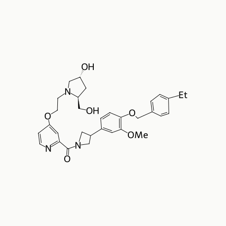 CCc1ccc(COc2ccc(C3CN(C(=O)c4cc(OCCN5C[C@H](O)C[C@H]5CO)ccn4)C3)cc2OC)cc1